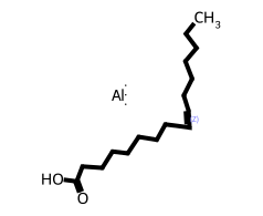 CCCCCC/C=C\CCCCCCCC(=O)O.[Al]